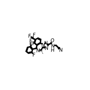 C[C@@H]1N=C(c2c(F)cccc2F)c2c(ccc(C(F)(F)F)c2Cl)-n2nc(C(=O)NCC#N)nc21